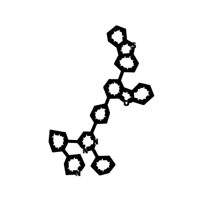 c1ccc(-c2nc(-c3ccc(-c4ccc(-c5ccc6sc7ccccc7c6c5)c5c4oc4ccccc45)cc3)cc(-c3ccccc3-c3ccncc3)n2)cc1